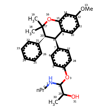 CCCNC(Oc1ccc([C@@H]2c3ccc(OC)cc3OC(C)(C)[C@H]2c2ccccc2)cc1)C(C)O